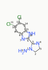 NN1CCN=C1c1nc2cc(Cl)c(Cl)cc2[nH]1